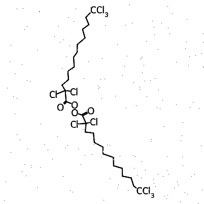 O=C(OOC(=O)C(Cl)(Cl)CCCCCCCCCCCC(Cl)(Cl)Cl)C(Cl)(Cl)CCCCCCCCCCCC(Cl)(Cl)Cl